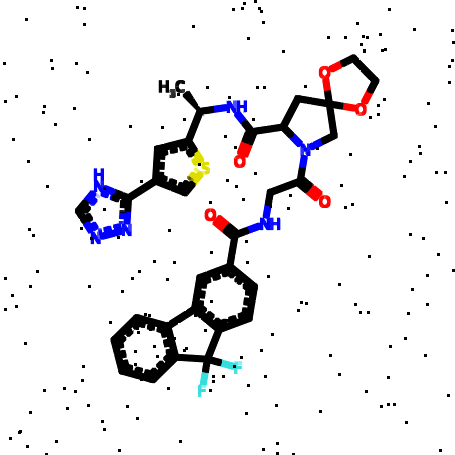 C[C@@H](NC(=O)C1CC2(CN1C(=O)CNC(=O)c1ccc3c(c1)-c1ccccc1C3(F)F)OCCO2)c1cc(-c2nnc[nH]2)cs1